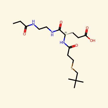 CCC(=O)NCCNC(=O)[C@H](CCC(=O)O)NC(=O)CCSCC(C)(C)C